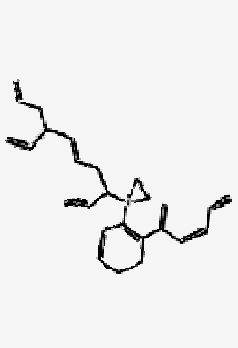 C=C/C=C\C(=C)C1=C([N+]2(C(C=C)C/C=C/C(C=C)CC=C)CC2)C=CCC1